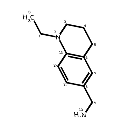 CCN1CCCc2cc(CN)ccc21